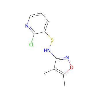 Cc1onc(NSc2cccnc2Cl)c1C